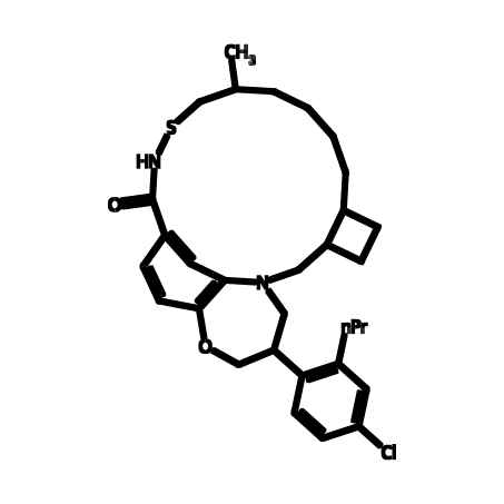 CCCc1cc(Cl)ccc1C1COc2ccc3cc2N(C1)CC1CCC1CCCCC(C)CSNC3=O